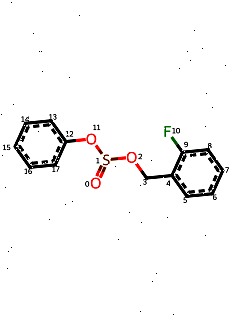 O=S(OCc1ccccc1F)Oc1ccccc1